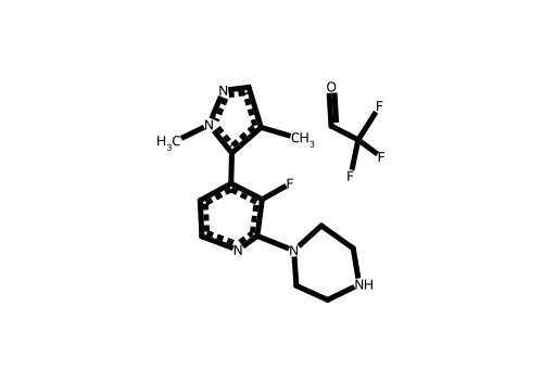 Cc1cnn(C)c1-c1ccnc(N2CCNCC2)c1F.O=CC(F)(F)F